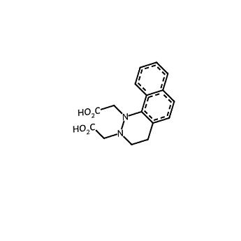 O=C(O)CN1CCc2ccc3ccccc3c2N1CC(=O)O